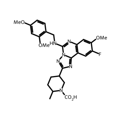 COc1ccc(CNc2nc3cc(OC)c(F)cc3c3nc(C4CCC(C)N(C(=O)O)C4)nn23)c(OC)c1